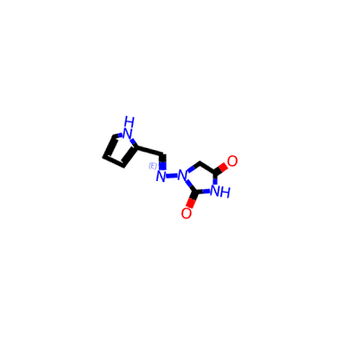 O=C1CN(/N=C/c2ccc[nH]2)C(=O)N1